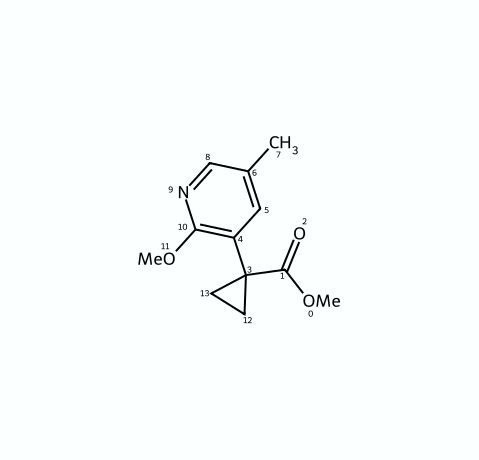 COC(=O)C1(c2cc(C)cnc2OC)CC1